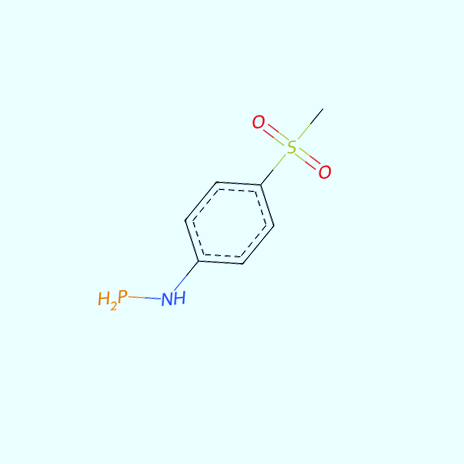 CS(=O)(=O)c1ccc(NP)cc1